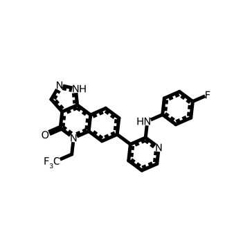 O=c1c2cn[nH]c2c2ccc(-c3cccnc3Nc3ccc(F)cc3)cc2n1CC(F)(F)F